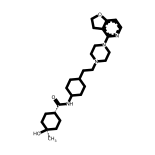 C[C@]1(O)CC[C@H](C(=O)NC2CCC(CCN3CCN(c4nccc5c4CCO5)CC3)CC2)CC1